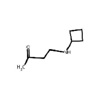 CC(=O)CCNC1CCC1